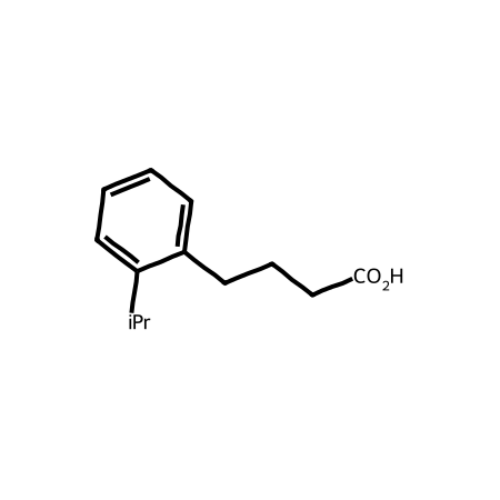 CC(C)c1ccccc1CCCC(=O)O